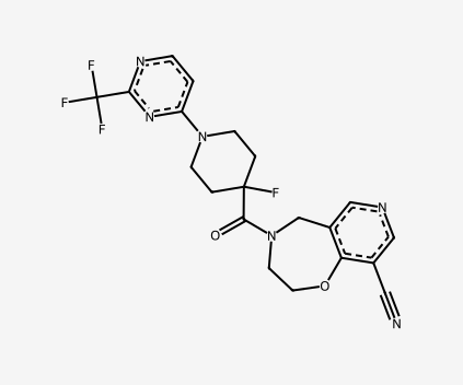 N#Cc1cncc2c1OCCN(C(=O)C1(F)CCN(c3ccnc(C(F)(F)F)n3)CC1)C2